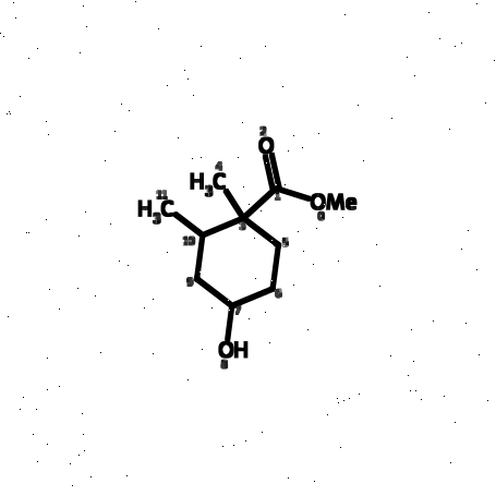 COC(=O)C1(C)CCC(O)CC1C